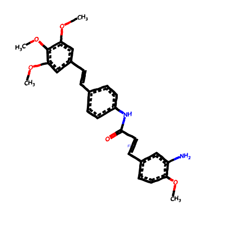 COc1ccc(/C=C/C(=O)Nc2ccc(C=Cc3cc(OC)c(OC)c(OC)c3)cc2)cc1N